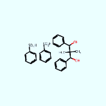 CC(C)(C(O)c1ccccc1)C(O)c1ccccc1.O=S(=O)(O)c1ccccc1.O=S(=O)(O)c1ccccc1